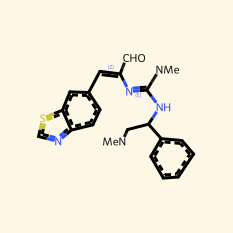 CNCC(N/C(=N/C(C=O)=C\c1ccc2ncsc2c1)NC)c1ccccc1